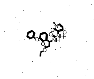 CCOC(=O)CC(NC(=O)Nc1c(O)ccn(C)c1=O)c1cccc(Oc2ccccc2)c1